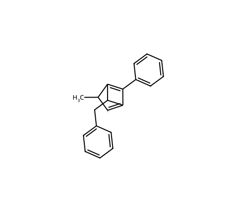 CC1[C]=C2C(c3ccccc3)=C1C2Cc1ccccc1